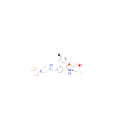 CCOC(=O)N1CCC(NCc2ccc(C(=O)N[C@@H](CCSC)C(=O)O)c(-c3ccccc3C)c2)CC1.[LiH]